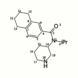 CC(C)N(C(=O)c1ccc2c(c1)CCCC2)C1CCCNC1